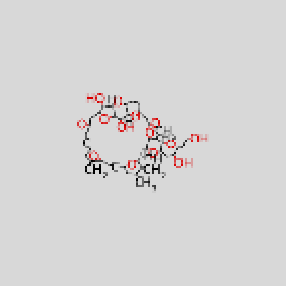 C=C1CC2CCC(=O)CC3OC4C(O)[C@H]5OC(CCC5O[C@H]4C3O)CC(=O)OC3[C@H](CC4OC(CCC1O2)CC(C)C4=C)O[C@H]1CC(O)C(CCO)O[C@H]1[C@@H]3C